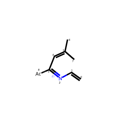 C=C/N=C(\C=C(C)C)C(C)=O